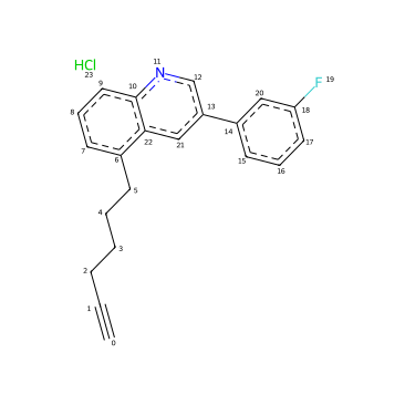 C#CCCCCc1cccc2ncc(-c3cccc(F)c3)cc12.Cl